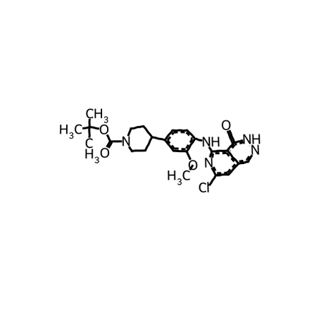 COc1cc(C2CCN(C(=O)OC(C)(C)C)CC2)ccc1Nc1nc(Cl)cc2cn[nH]c(=O)c12